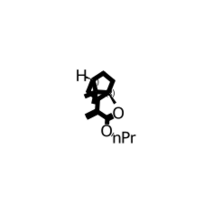 C=C(C(=O)OCCC)C1C[C@H]2CC[C@@]1(C)C2(C)C